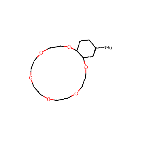 CC(C)(C)C1CCC2OCCOCCOCCOCCOCCOC2C1